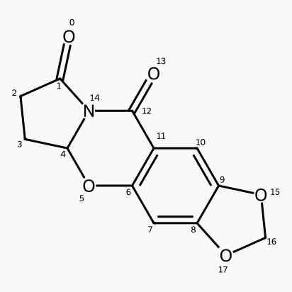 O=C1CCC2Oc3cc4c(cc3C(=O)N12)OCO4